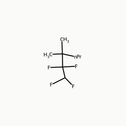 CCCC(C)(C)C(F)(F)C(F)F